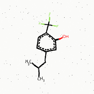 CC(C)Cc1ccc(C(F)(F)F)c(O)c1